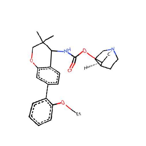 CCOc1ccccc1-c1ccc2c(c1)OCC(C)(C)C2NC(=O)O[C@H]1CN2CCC1CC2